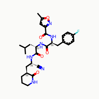 Cc1cc(C(=O)N[C@@H](Cc2ccc(F)cc2)C(=O)N[C@@H](CC(C)C)C(=O)N[C@H](C#N)C[C@@H]2CCCNC2=O)no1